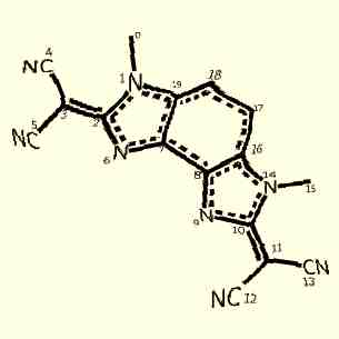 Cn1c(=C(C#N)C#N)nc2c3nc(=C(C#N)C#N)n(C)c3ccc21